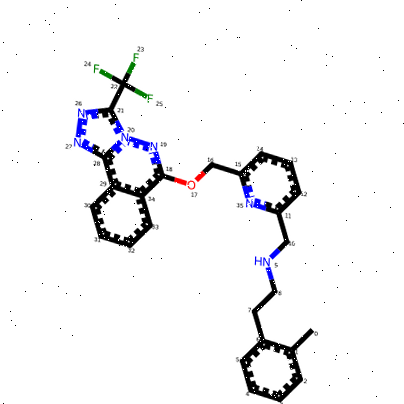 Cc1ccccc1CCNCc1cccc(COc2nn3c(C(F)(F)F)nnc3c3ccccc23)n1